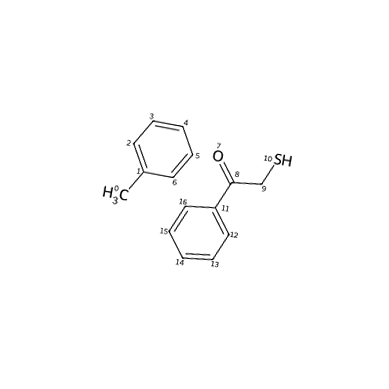 Cc1ccccc1.O=C(CS)c1ccccc1